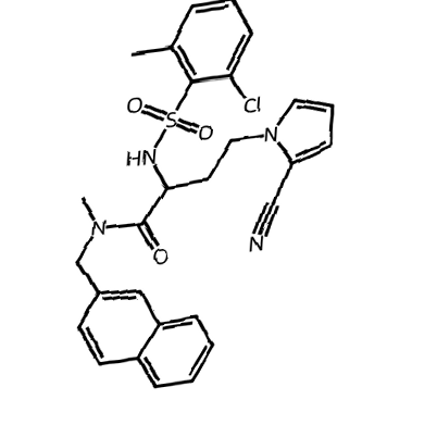 Cc1cccc(Cl)c1S(=O)(=O)NC(CCn1cccc1C#N)C(=O)N(C)Cc1ccc2ccccc2c1